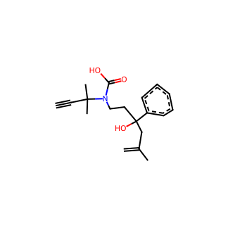 C#CC(C)(C)N(CCC(O)(CC(=C)C)c1ccccc1)C(=O)O